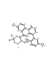 C[C@@H]1CC(F)(F)CN(C(=O)c2cc(Cl)ccc2-c2ncccn2)C1CNc1ncc(C(F)(F)F)cn1